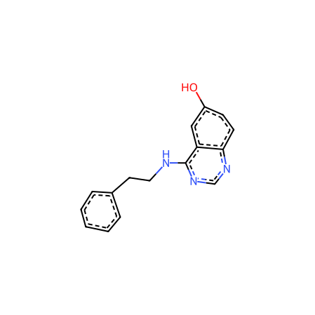 Oc1ccc2ncnc(NCCc3ccccc3)c2c1